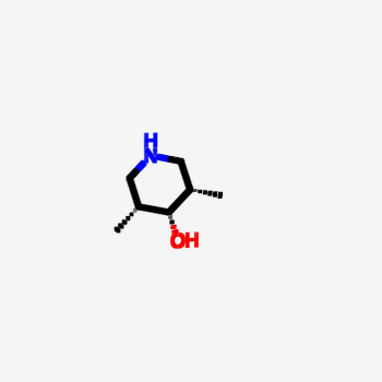 C[C@@H]1CNC[C@H](C)[C@@H]1O